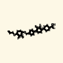 C=CCOc1ccc(OCc2ccc(-c3ccc(C4CCC(C(C)O)CC4)c(F)c3F)cc2)c(F)c1F